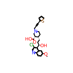 COc1ccc2ncc(Cl)c([C@@H](O)CC[C@H]3CCN(CC#Cc4cccs4)C[C@H]3C(=O)O)c2c1